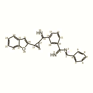 N=C(/N=C/c1ccccc1)c1cccc(C(=N)C2C=C2c2cc3ccccc3o2)c1